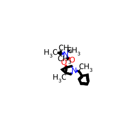 C[C@H](c1ccccc1)N1CC2(C)CC2(OC(=O)N(C)C(C)(C)C)C1